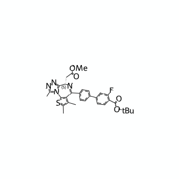 COC(=O)C[C@@H]1N=C(c2ccc(-c3ccc(C(=O)OC(C)(C)C)c(F)c3)cc2)c2c(sc(C)c2C)-n2c(C)nnc21